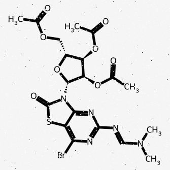 CC(=O)OC[C@H]1O[C@@H](n2c(=O)sc3c(Br)nc(N=CN(C)C)nc32)[C@H](OC(C)=O)[C@@H]1OC(C)=O